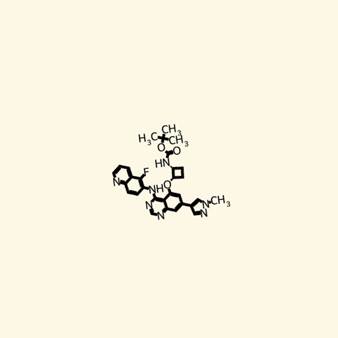 Cn1cc(-c2cc(O[C@@H]3CC[C@H]3NC(=O)OC(C)(C)C)c3c(Nc4ccc5ncccc5c4F)ncnc3c2)cn1